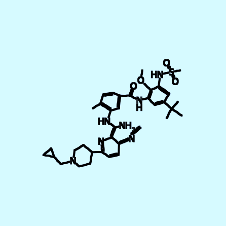 C=C/N=C1/C=CC(C2CCN(CC3CC3)CC2)=N/C1=C(/N)Nc1cc(C(=O)Nc2cc(C(C)(C)C)cc(NS(C)(=O)=O)c2OC)ccc1C